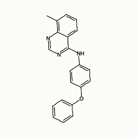 Cc1cccc2c(Nc3ccc(Oc4ccccc4)cc3)ncnc12